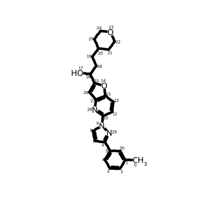 Cc1cccc(-c2ccn(-c3ccc4oc(C(O)CCC5CCOCC5)cc4n3)n2)c1